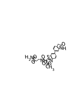 CS(=O)(=O)C(C(=O)NCCS(N)(=O)=O)c1nc2ccc(-c3ccc4c(c3)NC(=O)C4)cc2s1